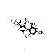 Cc1c(C(F)(F)C(F)(F)F)ncn1-c1c(Cl)cc(C(F)(F)F)cc1[N+](=O)[O-]